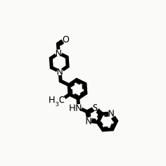 Cc1c(CN2CCN(C=O)CC2)cccc1Nc1nc2cccnc2s1